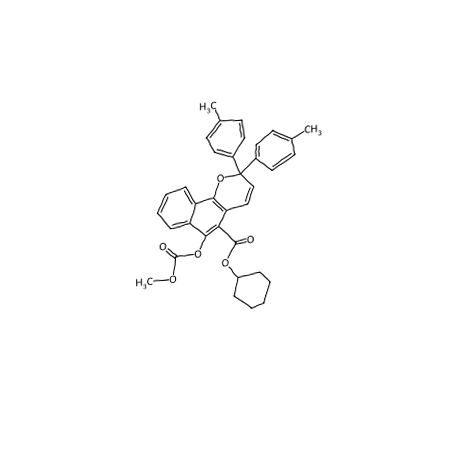 COC(=O)Oc1c(C(=O)OC2CCCCC2)c2c(c3ccccc13)OC(c1ccc(C)cc1)(c1ccc(C)cc1)C=C2